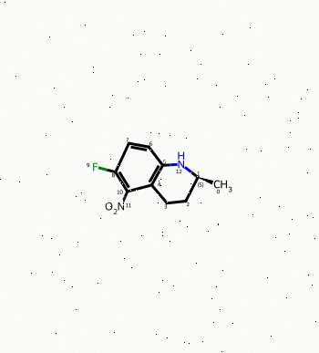 C[C@H]1CCc2c(ccc(F)c2[N+](=O)[O-])N1